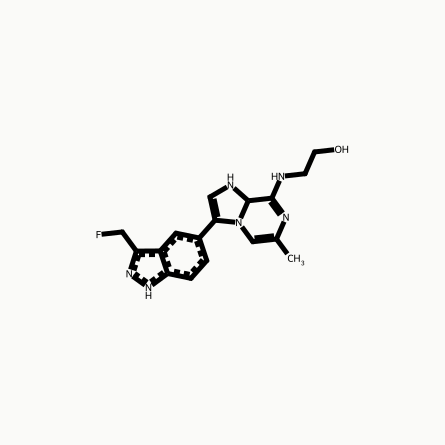 CC1=CN2C(c3ccc4[nH]nc(CF)c4c3)=CNC2C(NCCO)=N1